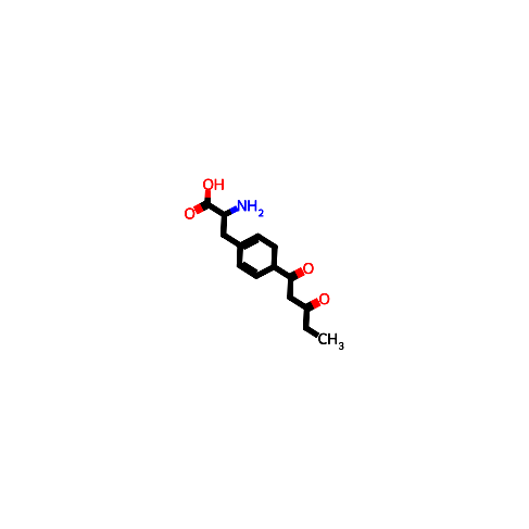 CCC(=O)CC(=O)C1C=CC(CC(N)C(=O)O)=CC1